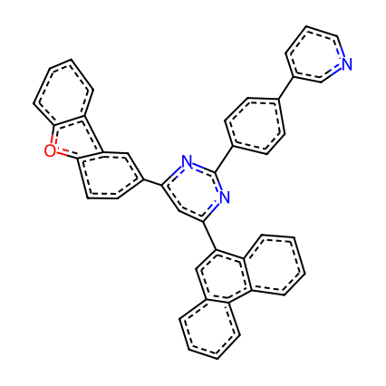 c1cncc(-c2ccc(-c3nc(-c4ccc5oc6ccccc6c5c4)cc(-c4cc5ccccc5c5ccccc45)n3)cc2)c1